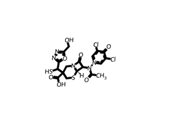 CC(=O)N(C1C(=O)N2CC(C(=O)O)(C(S)c3nnc(CO)o3)CS[C@H]12)n1cc(Cl)c(=O)c(Cl)c1